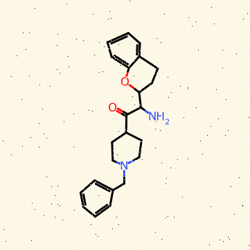 NC(C(=O)C1CCN(Cc2ccccc2)CC1)C1CCc2ccccc2O1